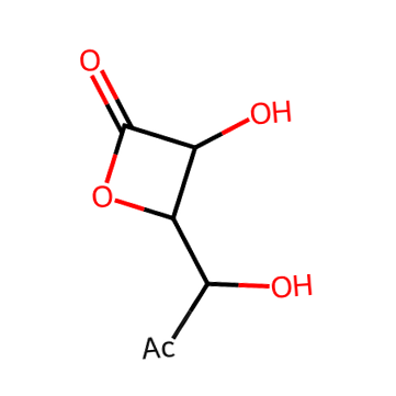 CC(=O)C(O)C1OC(=O)C1O